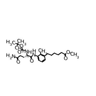 COC(=O)CCCCCc1cccc(NC(=O)[C@H](CCC(N)=O)NC(=O)OC(C)(C)C)c1C